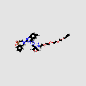 C#CCOCCOCCOCCOCCNC1(CNc2nc(N3CCS(=O)(=O)c4ccccc4C3)nc3ccc(C)cc23)COC1